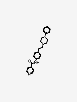 O=C(Nc1ccc(CCN2CCN(c3ccccc3)CC2)cc1)c1ccncc1